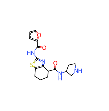 O=C(Nc1nc2c(s1)CCCC2C(=O)NC1CCNC1)c1ccco1